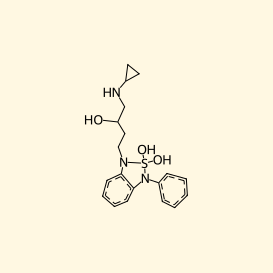 OC(CCN1c2ccccc2N(c2ccccc2)S1(O)O)CNC1CC1